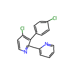 Clc1ccc(-c2c(Cl)ccnc2-c2ccccn2)cc1